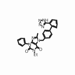 CCn1c(=O)c2c(nc(C)n2Cc2ccc(-c3ccccc3-c3nnn[nH]3)cc2)n(-c2ccccc2)c1=O